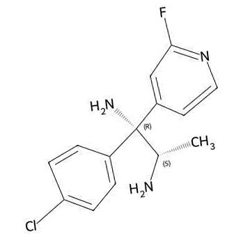 C[C@H](N)[C@@](N)(c1ccc(Cl)cc1)c1ccnc(F)c1